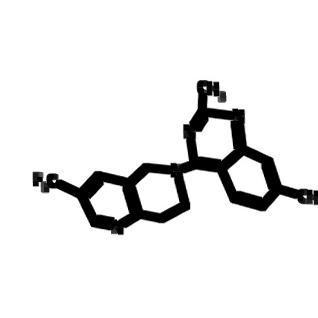 Cc1ccc2c(N3CCc4ncc(C(F)(F)F)cc4C3)nc(C)nc2c1